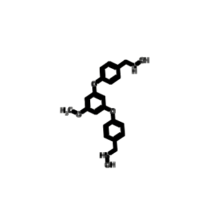 COc1cc(Oc2ccc(CNO)cc2)cc(Oc2ccc(CNO)cc2)c1